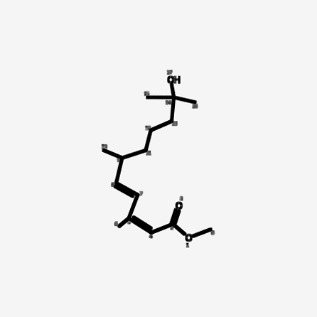 COC(=O)C=C(C)C=CC(C)CCCC(C)(C)O